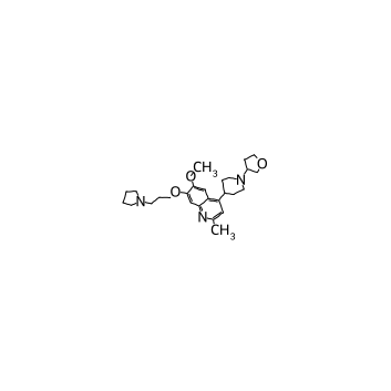 COc1cc2c(C3CCN(C4CCOC4)CC3)cc(C)nc2cc1OCCCN1CCCC1